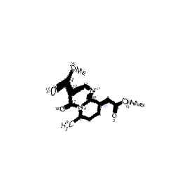 COC(=O)/C=C1\CCC(C)n2c1ncc(C(=O)OC)c2=O